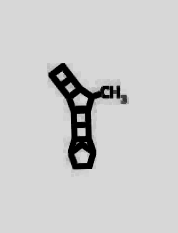 CC1C2=C(C3C4CCC4C13)C1C2C2C3CCC(C3)C12